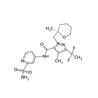 Cc1c(C(C)(F)F)nn(C[C@@]2(C)CCCCO2)c1C(=O)Nc1ccnc(S(N)(=O)=O)c1